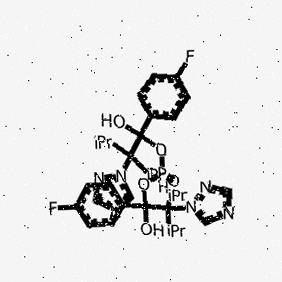 CC(C)C(C(C)C)(n1cncn1)C(O)(O[PH](=O)OC(O)(c1ccc(F)cc1)C(C(C)C)(C(C)C)n1cncn1)c1ccc(F)cc1